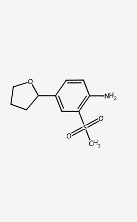 CS(=O)(=O)c1cc(C2CCCO2)ccc1N